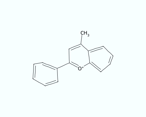 Cc1cc(-c2ccccc2)[o+]c2ccccc12